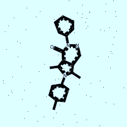 Cc1ccc(-n2c(C)c3cnn(-c4ccccc4)c(=O)c3c2C)cc1